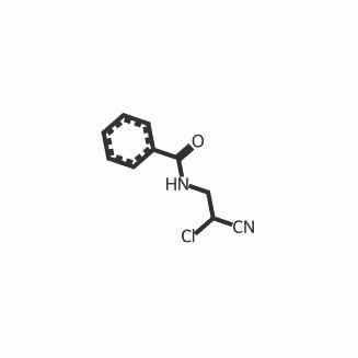 N#CC(Cl)CNC(=O)c1ccccc1